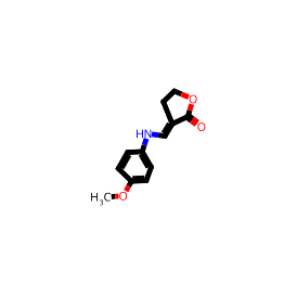 COc1ccc(NC=C2CCOC2=O)cc1